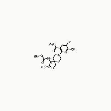 COC(=O)c1cc(Br)c(C)nc1N1CCC2(CC1)CO[C@@H](C)[C@H]2NC(=O)OC(C)(C)C